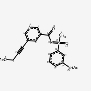 COCC#Cc1cncc(C(=O)N=S(C)(=O)c2cccc(NC(C)=O)c2)c1